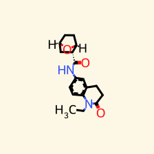 CCN1C(=O)CCc2cc(NC(=O)[C@@H]3C[C@H]4CC[C@@H]3O4)ccc21